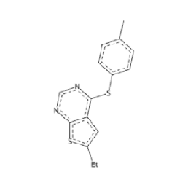 CCc1cc2c(Sc3ccc(C)cc3)ncnc2s1